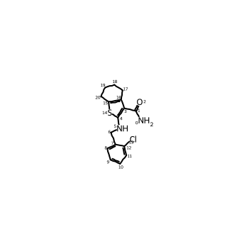 NC(=O)c1c(NCc2ccccc2Cl)sc2c1CCCC2